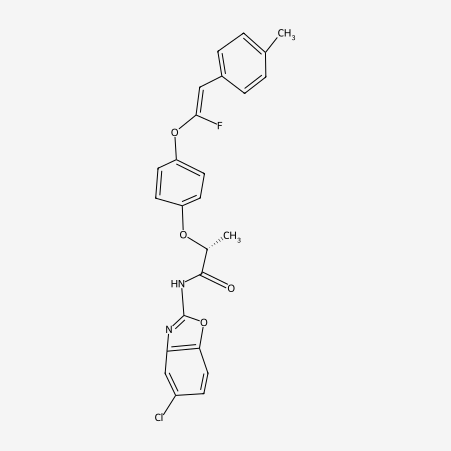 Cc1ccc(/C=C(\F)Oc2ccc(O[C@H](C)C(=O)Nc3nc4cc(Cl)ccc4o3)cc2)cc1